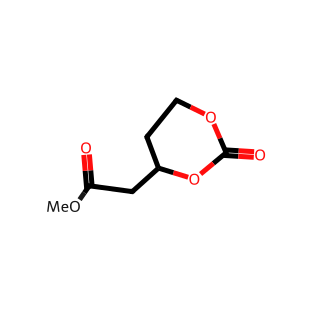 COC(=O)CC1CCOC(=O)O1